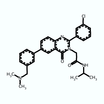 CC(C)NC(=O)Cn1c(-c2cccc(Cl)c2)nc2ccc(-c3cccc(CN(C)C)c3)cc2c1=O